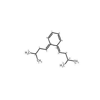 CC(C)CC=c1ccccc1=CCC(C)C